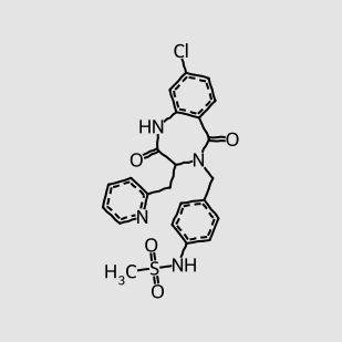 CS(=O)(=O)Nc1ccc(CN2C(=O)c3ccc(Cl)cc3NC(=O)C2Cc2ccccn2)cc1